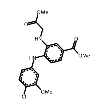 COC(=O)CNc1cc(C(=O)OC)ccc1Nc1ccc(Cl)c(OC)c1